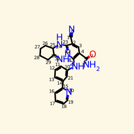 N#Cc1cc(C(N)=O)c(Nc2cccc(-c3ccccn3)c2)nc1NC1CCCCC1N